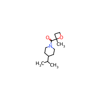 CC(C)C1CCN(C(=O)C2(C)CCO2)CC1